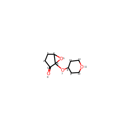 O=C1CCC2OC12OC1CCOCC1